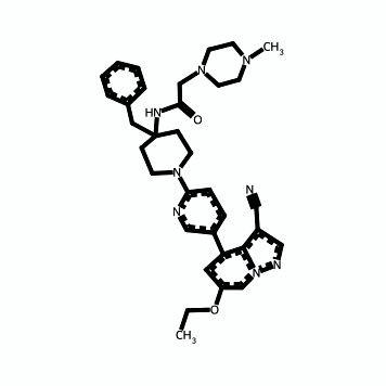 CCOc1cc(-c2ccc(N3CCC(Cc4ccccc4)(NC(=O)CN4CCN(C)CC4)CC3)nc2)c2c(C#N)cnn2c1